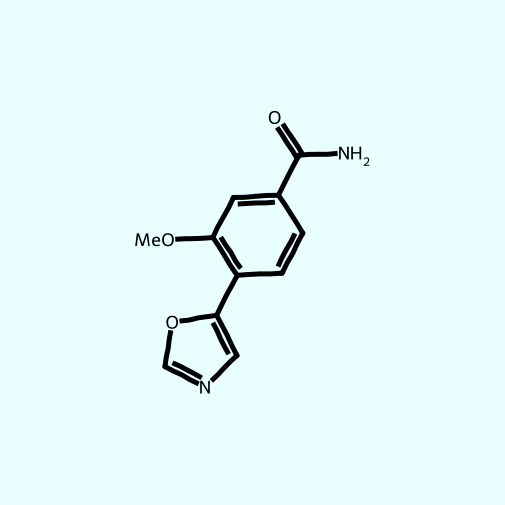 COc1cc(C(N)=O)ccc1-c1cnco1